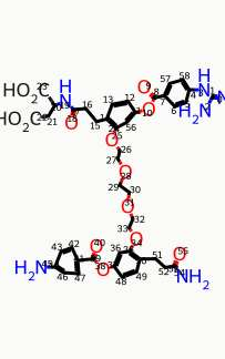 N=C(N)Nc1ccc(C(=O)Oc2ccc(CCC(=O)NC(CC(=O)O)C(=O)O)c(OCCOCCOCCOc3cc(OC(=O)c4ccc(N)cc4)ccc3CCC(N)=O)c2)cc1